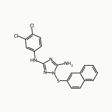 Nc1nc(Nc2ccc(Cl)c(Cl)c2)nn1Sc1ccc2ccccc2c1